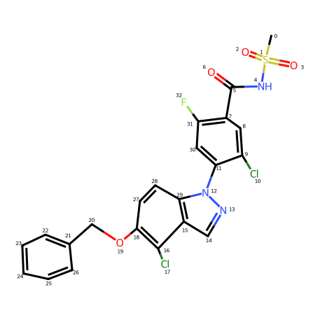 CS(=O)(=O)NC(=O)c1cc(Cl)c(-n2ncc3c(Cl)c(OCc4ccccc4)ccc32)cc1F